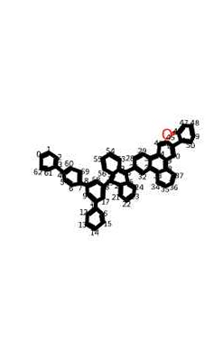 c1ccc(-c2ccc(-c3cc(-c4ccccc4)cc(-c4c5ccccc5c(-c5ccc6c(c5)c5ccccc5c5cc7c(cc65)oc5ccccc57)c5ccccc45)c3)cc2)cc1